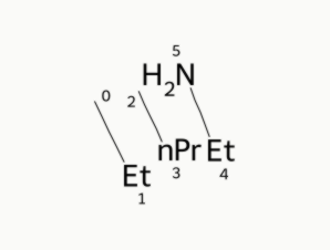 CCC.CCCC.CCN